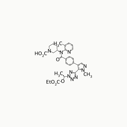 CCOC(=O)O[C@@H](C)n1nnc(-c2c(-c3ccc(C(=O)N(c4ncccc4C)[C@@H]4CCCN(C(=O)O)C4)cc3)cnn2C)n1